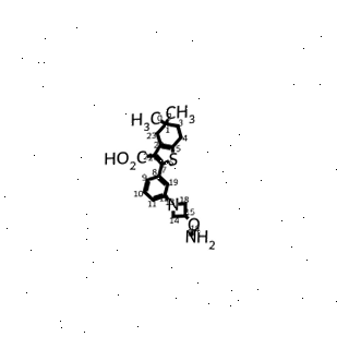 CC1(C)CCc2sc(-c3cccc(N4CC(ON)C4)c3)c(C(=O)O)c2C1